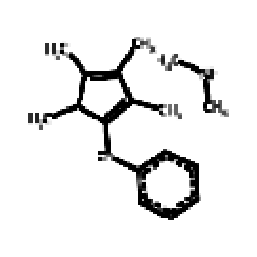 CC1=C(C)C(C)[C]([Cr][c]2ccccc2)=C1C.CNC